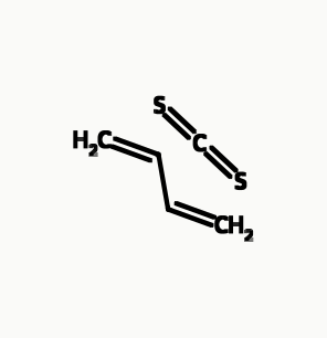 C=CC=C.S=C=S